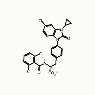 O=C(N[C@@H](Cc1ccc(-n2c(=O)n(C3CC3)c3cc(Cl)ccc32)cc1)C(=O)O)c1c(Cl)cccc1Cl